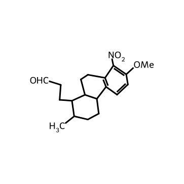 COc1ccc2c(c1[N+](=O)[O-])CCC1C2CCC(C)C1CCC=O